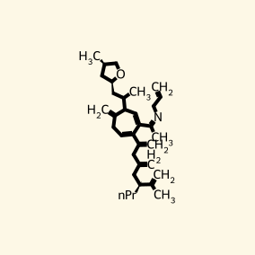 C=CC/N=C(/C)C1=CC(C(C)C[C@H]2C[C@@H](C)CO2)C(=C)CC=C1C(=C)CC(=C)C[C@H](CCC)C(=C)C